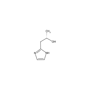 C[C@H](O)Cc1ncc[nH]1